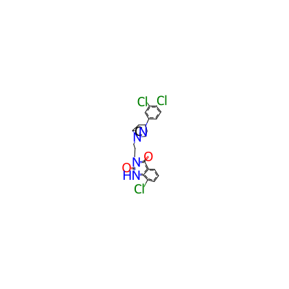 O=c1[nH]c2c(Cl)cccc2c(=O)n1CCCN1CC2CCC1CN2c1ccc(Cl)c(Cl)c1